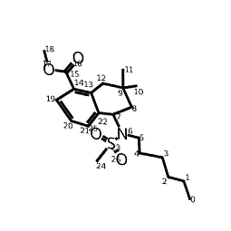 CCCCCCN(C1CC(C)(C)Cc2c(C(=O)OC)cccc21)S(C)(=O)=O